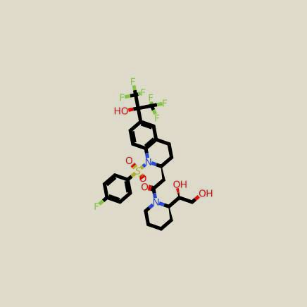 O=C(C[C@@H]1CCc2cc(C(O)(C(F)(F)F)C(F)(F)F)ccc2N1S(=O)(=O)c1ccc(F)cc1)N1CCCC[C@@H]1[C@@H](O)CO